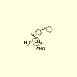 CC(C)(CN(O)C=O)CS(=O)(=O)c1ccc(Oc2ccccc2)cc1